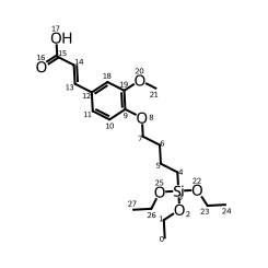 CCO[Si](CCCCOc1ccc(C=CC(=O)O)cc1OC)(OCC)OCC